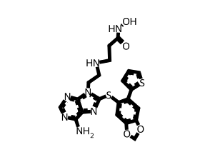 Nc1ncnc2c1nc(Sc1cc3c(cc1-c1cccs1)OCO3)n2CCNCCC(=O)NO